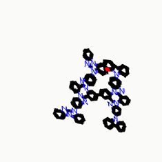 c1ccc2c(c1)nc1n(-c3ccc4c(c3)nc3c5ccc(-c6ccc7c(c6)c6nc8cc(-n9c%10ccccc%10c%10ccccc%109)ccc8n6c6ccccc6c6nc8cc(-n9c%10ccccc%10c%10ccccc%109)ccc8n76)cc5n5c6ccc(-n7c8ccccc8n8c9ccccc9nc78)cc6nc5c5ccccc5n43)c3ccccc3n21